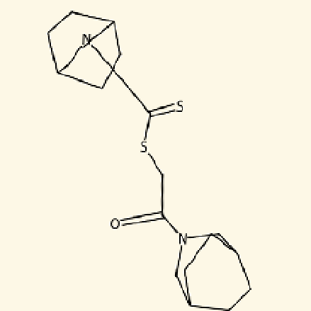 O=C(CSC(=S)N1CC2CCC(CC2)C1)N1CC2CCC(CC2)C1